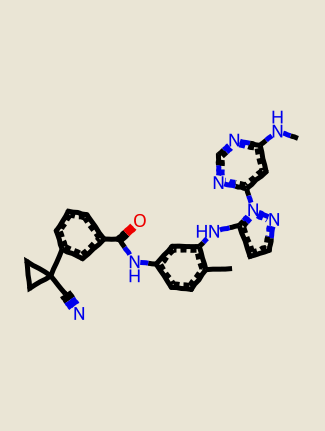 CNc1cc(-n2nccc2Nc2cc(NC(=O)c3cccc(C4(C#N)CC4)c3)ccc2C)ncn1